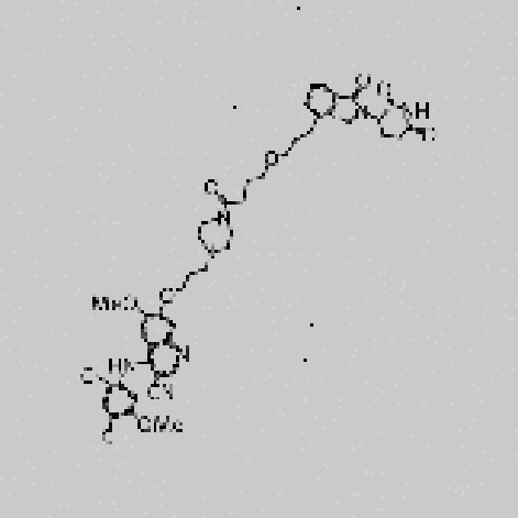 COc1cc(Nc2c(C#N)cnc3cc(OCCCN4CCN(C(=O)CCCOCCCc5cccc6c5CN(C5CCC(=O)NC5=O)C6=O)CC4)c(OC)cc23)c(Cl)cc1Cl